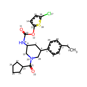 CCc1ccc(C2CC(NC(=O)Oc3ccc(Cl)s3)CN(C(=O)C3CCCC3)C2)cc1